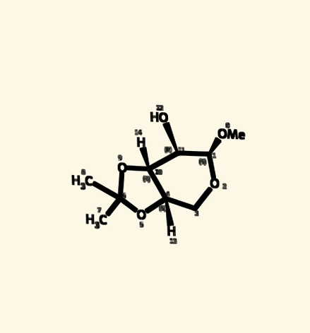 CO[C@H]1OC[C@@H]2OC(C)(C)O[C@@H]2[C@H]1O